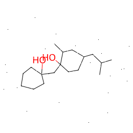 CC(C)CC1CCC(O)(CC2(O)CCCCC2)C(C)C1